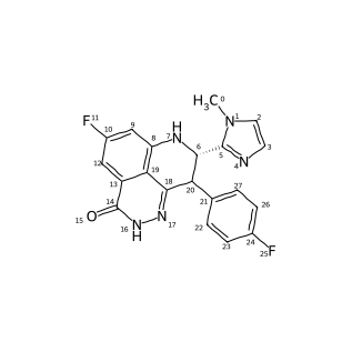 Cn1ccnc1[C@H]1Nc2cc(F)cc3c(=O)[nH]nc(c23)C1c1ccc(F)cc1